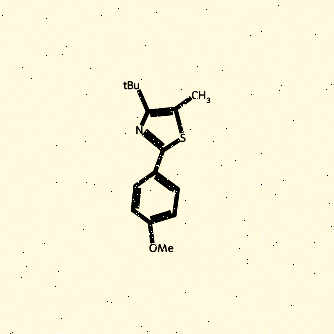 COc1ccc(-c2nc(C(C)(C)C)c(C)s2)cc1